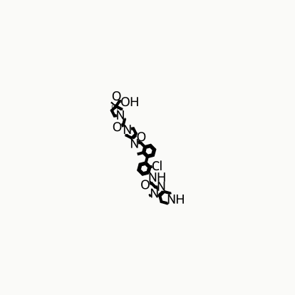 Cc1c(-c2nc3c(o2)CN(C(=O)CN2CC[C@](C)(C(=O)O)C2)C3)cccc1-c1cccc(NC(=O)c2nc3c(n2C)CCNC3)c1Cl